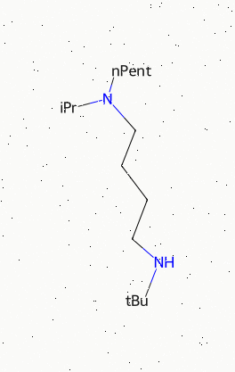 CCCCCN(CCCCNC(C)(C)C)C(C)C